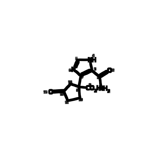 NC(=O)c1[nH]cnc1C1(C(=O)O)CCC(=O)C1